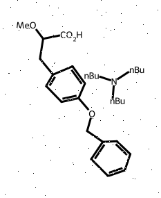 CCCCN(CCCC)CCCC.COC(Cc1ccc(OCc2ccccc2)cc1)C(=O)O